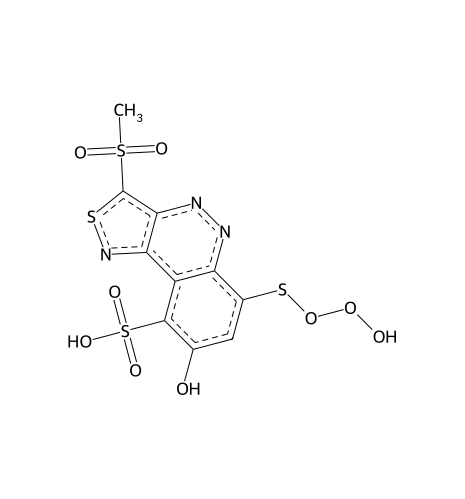 CS(=O)(=O)c1snc2c1nnc1c(SOOO)cc(O)c(S(=O)(=O)O)c12